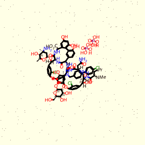 CN[C@H](CC(C)C)C(=O)N[C@H]1C(=O)N[C@@H](CC(N)=O)C(=O)N[C@H]2C(=O)N[C@H]3C(=O)N[C@H](C(=O)N[C@@H](C(=O)O)c4cc(O)cc(O)c4-c4cc3ccc4O)[C@H](O[C@H]3C[C@](C)(N)[C@@H](O)[C@H](C)O3)c3ccc(c(Cl)c3)Oc3cc2cc(c3O[C@@H]2O[C@H](CO)[C@@H](O)[C@H](O)[C@H]2O[C@H]2C[C@](C)(NCc3ccc(-c4ccc(Cl)cc4)cc3)[C@@H](O)[C@H](C)O2)Oc2ccc(cc2Cl)[C@H]1O.O=P(O)(O)O.O=P(O)(O)O